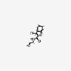 O=CCNC(=O)c1sc2ccccc2c1Cl